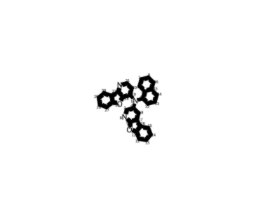 c1ccc2c(N(c3cnc4oc5ccccc5c4c3)c3ccnc4c3oc3ccccc34)cccc2c1